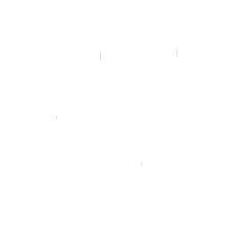 Clc1cc(Cl)c(Cc2cc(Cl)c(Cl)cc2Cl)cc1Cl